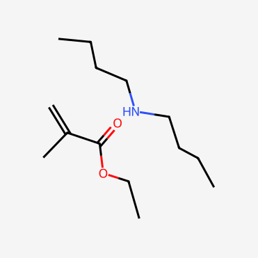 C=C(C)C(=O)OCC.CCCCNCCCC